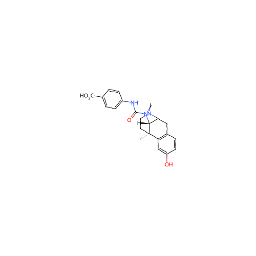 CN1CC[C@]2(C)c3cc(O)ccc3CC1[C@H]2N(C)C(=O)Nc1ccc(C(=O)O)cc1